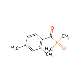 Cc1ccc(C(=O)P(C)(C)=O)c(C)c1